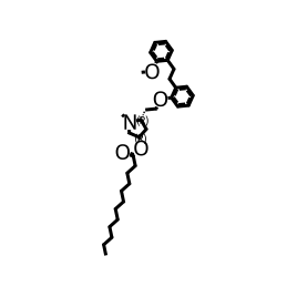 CCCCCCCCCCCC(=O)O[C@@H]1C[C@@H](CCOc2ccccc2CCc2ccccc2OC)N(C)C1